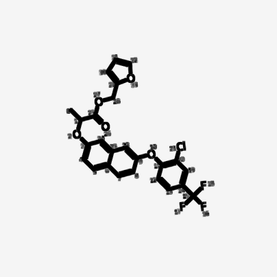 CC(Oc1ccc2ccc(Oc3ccc(C(F)(F)F)cc3Cl)cc2c1)C(=O)OCc1ccco1